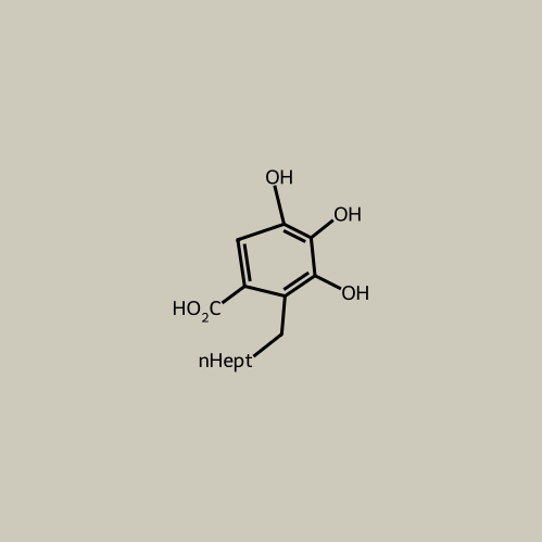 CCCCCCCCc1c(C(=O)O)cc(O)c(O)c1O